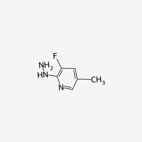 Cc1cnc(NN)c(F)c1